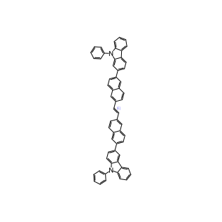 C(=C\c1ccc2cc(-c3ccc4c5ccccc5n(-c5ccccc5)c4c3)ccc2c1)/c1ccc2cc(-c3ccc4c(c3)c3ccccc3n4-c3ccccc3)ccc2c1